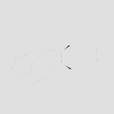 C=C[C@H]1C[C@@H](/C=C\c2ccccc2)[C@H](CO[Si](C)(C)C(C)(C)C)[C@@H]1CO[Si](C)(C)C(C)(C)C